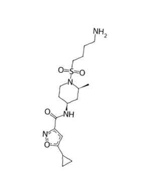 C[C@H]1C[C@@H](NC(=O)c2cc(C3CC3)on2)CCN1S(=O)(=O)CCCCN